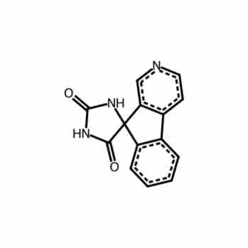 O=C1NC(=O)C2(N1)c1ccccc1-c1ccncc12